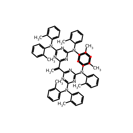 C=C(c1nc(N(c2ccccc2C)c2ccccc2C)nc(N(c2ccccc2C)c2ccccc2C)n1)c1nc(N(c2ccccc2C)c2ccccc2C)nc(N(c2ccccc2C)c2ccccc2C)n1